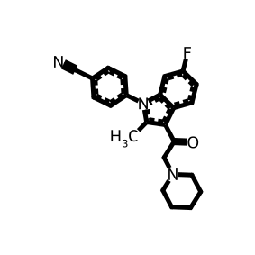 Cc1c(C(=O)CN2CCCCC2)c2ccc(F)cc2n1-c1ccc(C#N)cc1